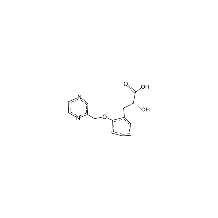 O=C(O)[C@H](O)Cc1ccccc1OCc1cnccn1